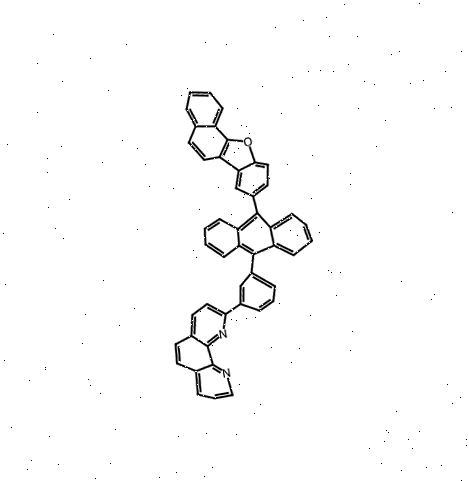 c1cc(-c2ccc3ccc4cccnc4c3n2)cc(-c2c3ccccc3c(-c3ccc4oc5c6ccccc6ccc5c4c3)c3ccccc23)c1